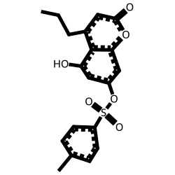 CCCc1cc(=O)oc2cc(OS(=O)(=O)c3ccc(C)cc3)cc(O)c12